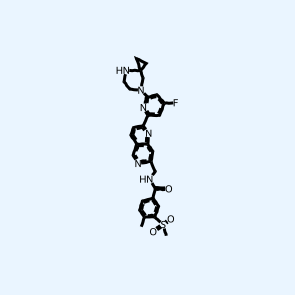 Cc1ccc(C(=O)NCc2cc3nc(-c4cc(F)cc(N5CCNC6(CC6)C5)n4)ccc3cn2)cc1S(C)(=O)=O